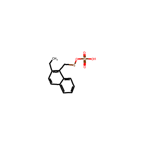 CCc1ccc2ccccc2c1CSOS(=O)(=O)O